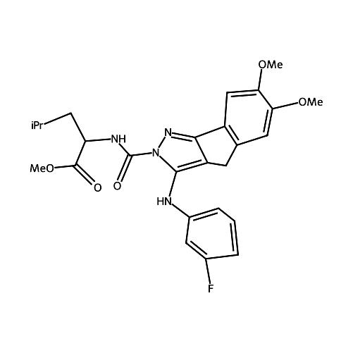 COC(=O)C(CC(C)C)NC(=O)n1nc2c(c1Nc1cccc(F)c1)Cc1cc(OC)c(OC)cc1-2